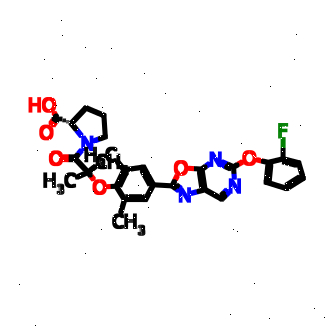 Cc1cc(-c2nc3cnc(Oc4ccccc4F)nc3o2)cc(C)c1OC(C)(C)C(=O)N1CCC[C@H]1C(=O)O